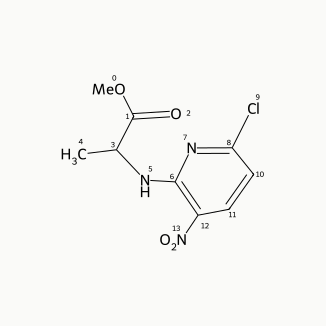 COC(=O)C(C)Nc1nc(Cl)ccc1[N+](=O)[O-]